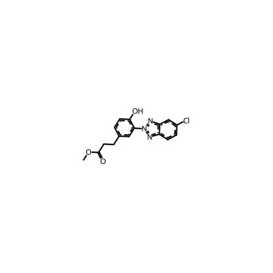 COC(=O)CCc1ccc(O)c(-n2nc3ccc(Cl)cc3n2)c1